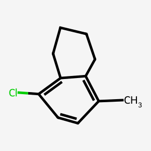 Cc1ccc(Cl)c2c1CCCC2